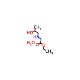 CCOC(=O)CNCC(C)O.O